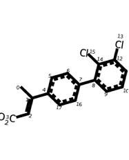 CC(=CC(=O)O)c1ccc(-c2cccc(Cl)c2Cl)cc1